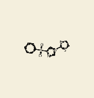 O=S(=O)(c1ccccc1)c1cn(-c2nccs2)cn1